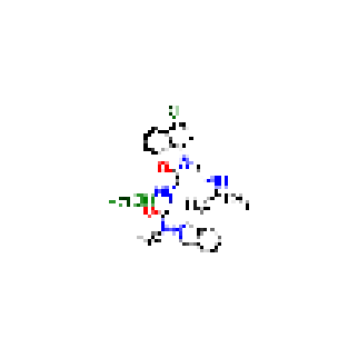 CC(C)NCCN(C(=O)CNCC(=O)N(C)N1Cc2ccccc2C1)c1ccc(Cl)c2ccccc12.Cl.Cl